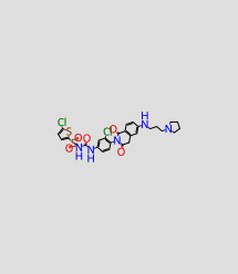 O=C(Nc1ccc(N2C(=O)Cc3cc(NCCCN4CCCC4)ccc3C2=O)c(Cl)c1)NS(=O)(=O)c1ccc(Cl)s1